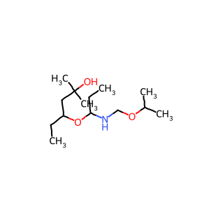 CCC(CC(C)(C)O)OC(CC)NCOC(C)C